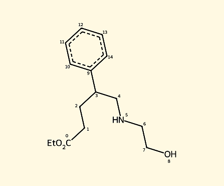 CCOC(=O)CCC(CNCCO)c1ccccc1